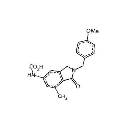 COc1ccc(CN2Cc3cc(NC(=O)O)cc(C)c3C2=O)cc1